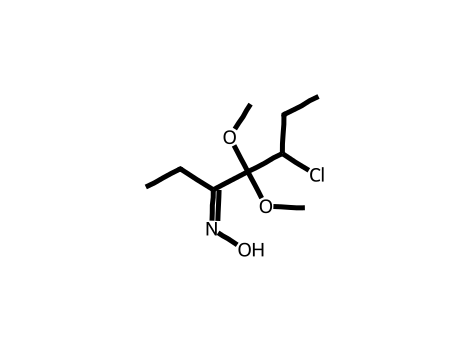 CCC(=NO)C(OC)(OC)C(Cl)CC